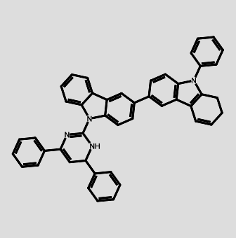 C1=Cc2c(n(-c3ccccc3)c3ccc(-c4ccc5c(c4)c4ccccc4n5C4=NC(c5ccccc5)=CC(c5ccccc5)N4)cc23)CC1